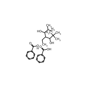 CCC(C(O)C(C)C)C(O)C(C)(C)C.O=C(O)c1ccccc1.O=C(O)c1ccccc1